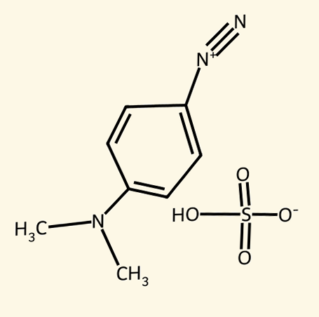 CN(C)c1ccc([N+]#N)cc1.O=S(=O)([O-])O